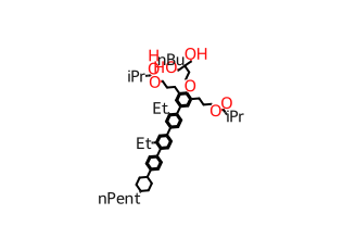 CCCCCC1CCC(c2ccc(-c3ccc(-c4ccc(-c5cc(CCCOC(=O)C(C)C)c(OCCC(CO)(CO)CCCC)c(CCCOC(O)C(C)C)c5)c(CC)c4)cc3CC)cc2)CC1